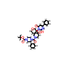 CC(C)(C)OC(=O)N1CCN(C(=O)N2CCC(O)(Cn3cnc(-c4ccccc4)cc3=O)C3(CCOCC3)C2)[C@H](c2ccccc2)C1